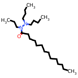 CCCCCCCCCCCCCC(=O)N(CCC)N(CCCC)CCCC